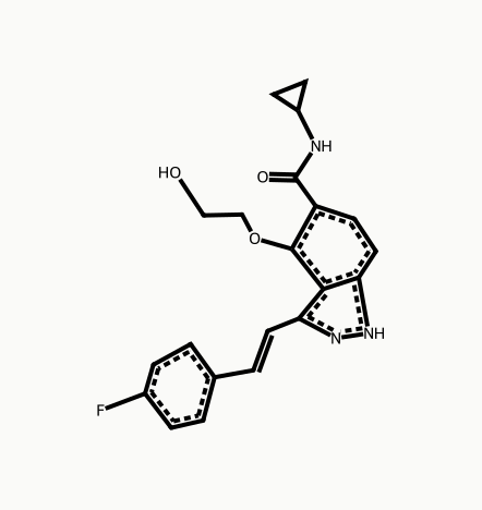 O=C(NC1CC1)c1ccc2[nH]nc(/C=C/c3ccc(F)cc3)c2c1OCCO